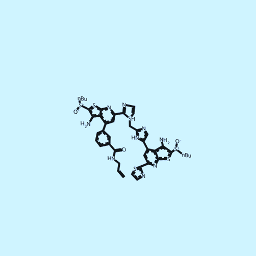 C=CCNC(=O)c1cccc(-c2cc(C3=NC=C[SH]3Cc3ncc(-c4cc(-c5nccs5)nc5sc([S+]([O-])CCCC)c(N)c45)[nH]3)nc3sc([S+]([O-])CCCC)c(N)c23)c1